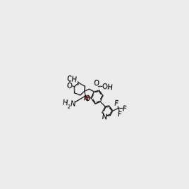 COC1CCC2(CC1)Cc1ccc(-c3cncc(C(F)(F)F)c3)cc1C21COC(N)=N1.O=CO